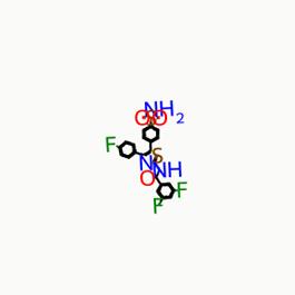 NS(=O)(=O)c1ccc(-c2sc(NC(=O)c3cc(F)cc(F)c3)nc2-c2ccc(F)cc2)cc1